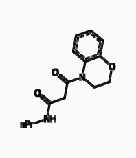 CCCNC(=O)CC(=O)N1CCOc2ccccc21